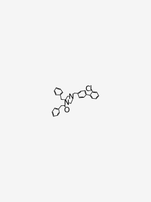 O=C(Cc1ccccc1)N1CCN(Cc2ccc(-c3ccccc3Cl)cc2)C[C@@H]1Cc1ccccc1